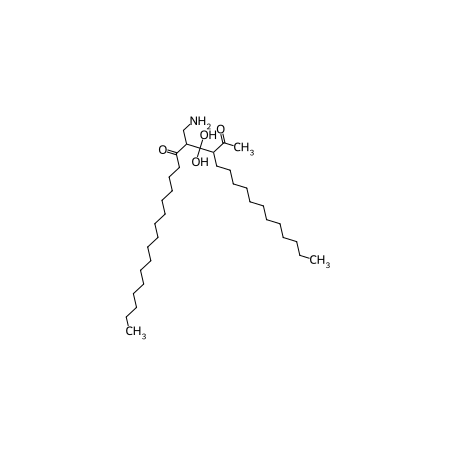 CCCCCCCCCCCCCCCC(=O)C(CN)C(O)(O)C(CCCCCCCCCCCC)C(C)=O